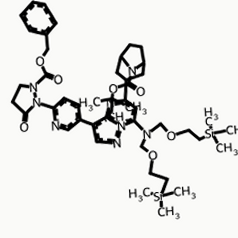 CC(C)(C)OC(=O)N1C2CCC1CC(c1cc(N(COCC[Si](C)(C)C)COCC[Si](C)(C)C)n3ncc(-c4ccc(N5C(=O)CCN5C(=O)OCc5ccccc5)nc4)c3n1)C2